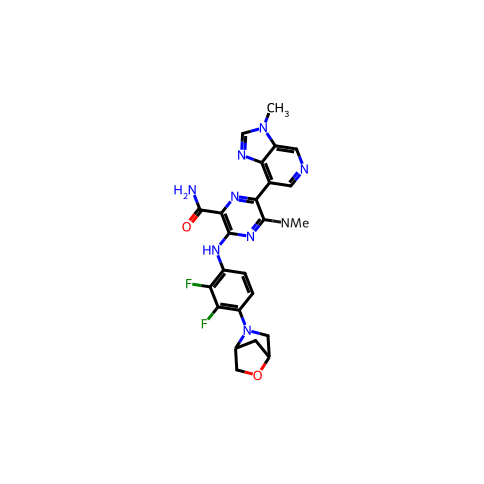 CNc1nc(Nc2ccc(N3CC4CC3CO4)c(F)c2F)c(C(N)=O)nc1-c1cncc2c1ncn2C